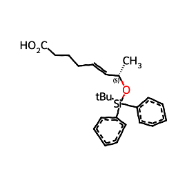 C[C@@H](C=CCCCC(=O)O)O[Si](c1ccccc1)(c1ccccc1)C(C)(C)C